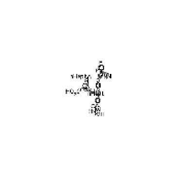 CCC(C(C)O)n1ncn(-c2ccc(N3CCN(c4ccc(OC[C@@H]5CO[C@@](Cn6cncn6)(c6ccc(F)cc6F)C5)cc4)CC3)cc2)c1=O.CCCCCCCC(=O)OCC(COC(=O)CCCCCCC)OC(=O)CCC(=O)O